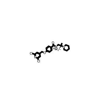 C[C@](CNC(=O)c1ccc(OCc2cc(Cl)nc(Cl)c2)cc1)(C(=O)O)N1CCCCC1